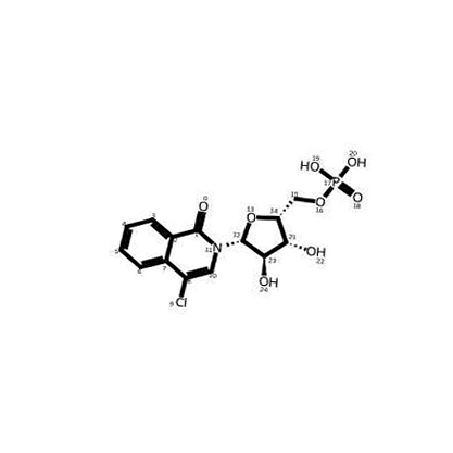 O=c1c2ccccc2c(Cl)cn1[C@@H]1O[C@H](COP(=O)(O)O)[C@H](O)[C@H]1O